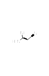 N#CC=C(N)N